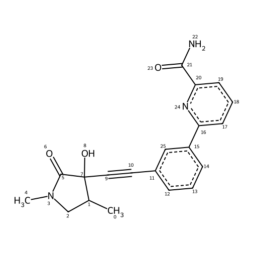 CC1CN(C)C(=O)C1(O)C#Cc1cccc(-c2cccc(C(N)=O)n2)c1